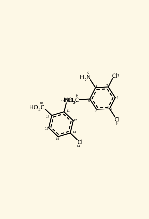 Nc1c(Cl)cc(Cl)cc1C(=O)O.Nc1cc(Cl)ccc1C(=O)O